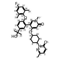 Cc1ccc(=O)n(C2CCC(Oc3cc(=O)n(C)cc3-c3cc(C(C)(C)O)ccc3Oc3c(C)cc(F)cc3C)CC2)n1